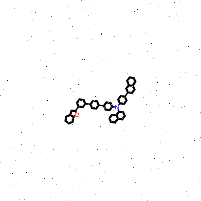 c1cc(-c2ccc(-c3ccc(N(c4ccc(-c5ccc6ccccc6c5)cc4)c4cccc5ccccc45)cc3)cc2)cc(-c2cc3ccccc3o2)c1